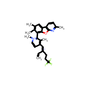 C=C/C(=C\c1cc[n+](C)c(-c2c(C)c(C)cc3c2oc2nc(C)ccc23)c1C)CCC(F)(F)F